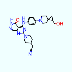 N#CCC1CCN(c2nc(Nc3ccc(N4CCC5(CC4)CC5CO)cc3)c3c(=O)[nH]ncc3n2)CC1